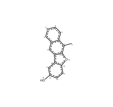 Cc1c2ccncc2cc2c1oc1ccc(O)cc12